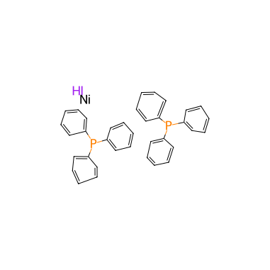 I.[Ni].c1ccc(P(c2ccccc2)c2ccccc2)cc1.c1ccc(P(c2ccccc2)c2ccccc2)cc1